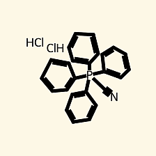 Cl.Cl.N#CP(c1ccccc1)(c1ccccc1)(c1ccccc1)c1ccccc1